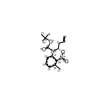 C=CCCN(C(=O)OC(C)(C)C)c1cccc(C)c1[N+](=O)[O-]